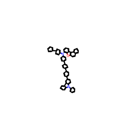 c1ccc(-c2ccc(N(c3ccc(-c4ccc(-c5ccc(-c6ccc7c(c6)c6ccccc6n7-c6ccccc6)cc5)cc4)cc3)c3cccc4c3oc3ccc5ccccc5c34)cc2)cc1